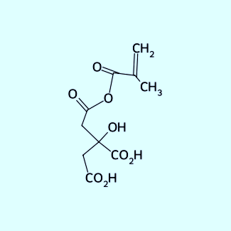 C=C(C)C(=O)OC(=O)CC(O)(CC(=O)O)C(=O)O